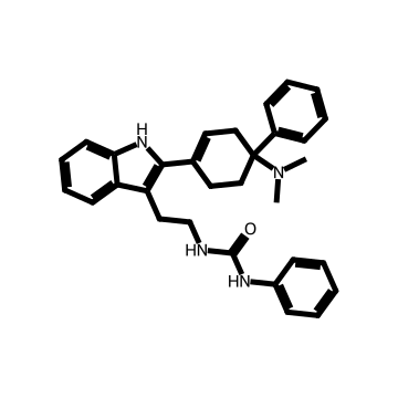 CN(C)C1(c2ccccc2)CC=C(c2[nH]c3ccccc3c2CCNC(=O)Nc2ccccc2)CC1